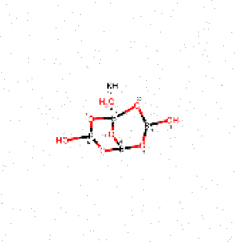 O.OB1OB2OB(O)OB(O1)O2.[KH]